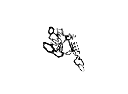 O=C(Nc1[nH]nc(C(=O)NCCN2CCOCC2)c1Br)c1ccccc1CSc1cccc2cccnc12